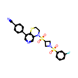 N#Cc1ccc(-c2cncc3c2SCCN3S(=O)(=O)C2CN(S(=O)(=O)c3cccc(F)c3)C2)cc1